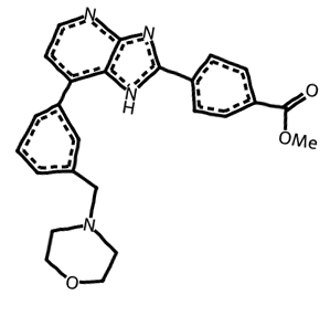 COC(=O)c1ccc(-c2nc3nccc(-c4cccc(CN5CCOCC5)c4)c3[nH]2)cc1